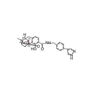 CN1CC[C@]23CC(=O)CC[C@@]2(O)[C@H]1Cc1ccc(C(=O)NCCc2ccc(-c4cn[nH]c4)cc2)c(O)c13